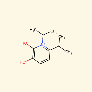 CC(C)c1ccc(O)c(O)[n+]1C(C)C